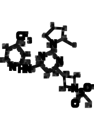 CC1CCCN1c1nc(Nc2cc(C(F)(F)F)ccn2)cc(C2CN(S(C)(=O)=O)C2)n1